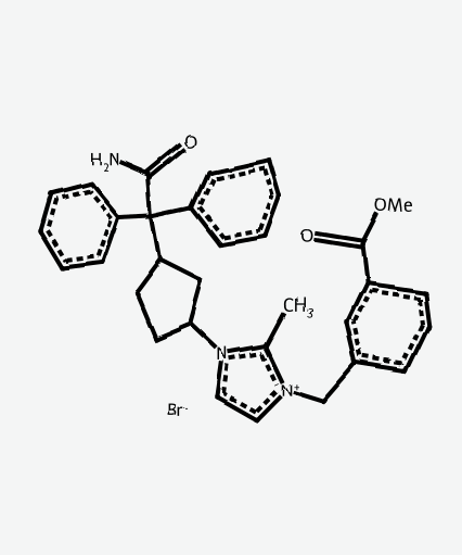 COC(=O)c1cccc(C[n+]2ccn(C3CCC(C(C(N)=O)(c4ccccc4)c4ccccc4)C3)c2C)c1.[Br-]